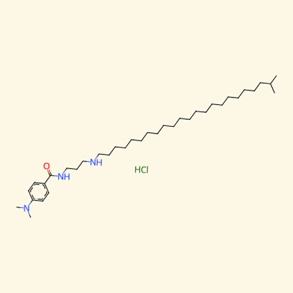 CC(C)CCCCCCCCCCCCCCCCCCCCCNCCCNC(=O)c1ccc(N(C)C)cc1.Cl